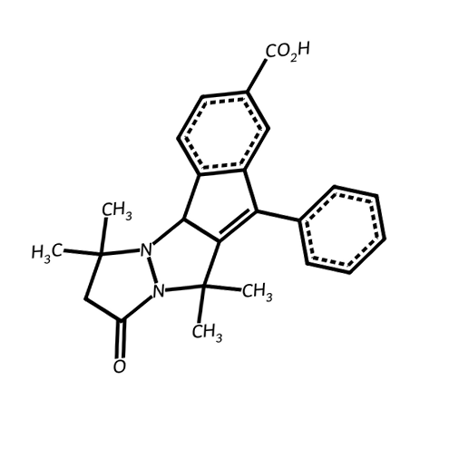 CC1(C)CC(=O)N2N1C1C(=C(c3ccccc3)c3cc(C(=O)O)ccc31)C2(C)C